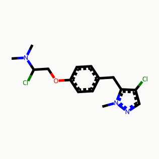 CN(C)C(Cl)COc1ccc(Cc2c(Cl)cnn2C)cc1